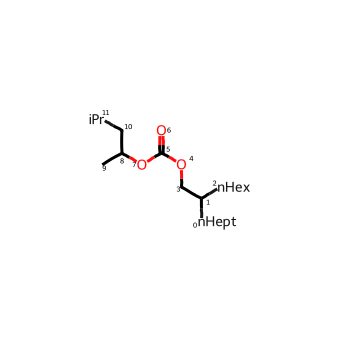 CCCCCCCC(CCCCCC)COC(=O)OC(C)CC(C)C